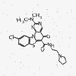 CN(C)c1ncc2c(=O)c(C(=O)NCCN3CCCC3)c3sc4ccc(Cl)cc4n3c2n1